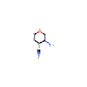 N#C[C@@H]1CCOC[C@H]1N